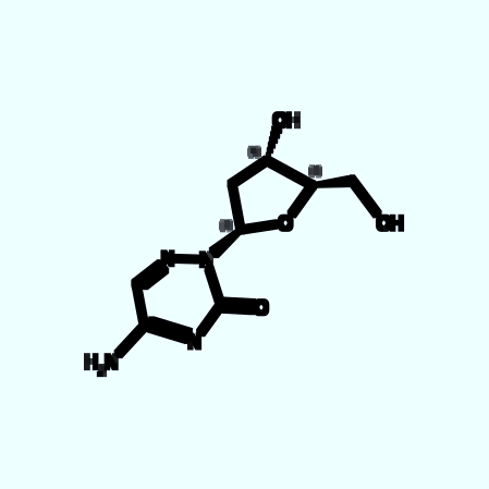 Nc1cnn([C@H]2C[C@H](O)[C@@H](CO)O2)c(=O)n1